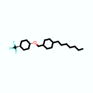 CCCCCCCC1CCC(CO[C@H]2CC[C@H](C(F)(F)F)CC2)CC1